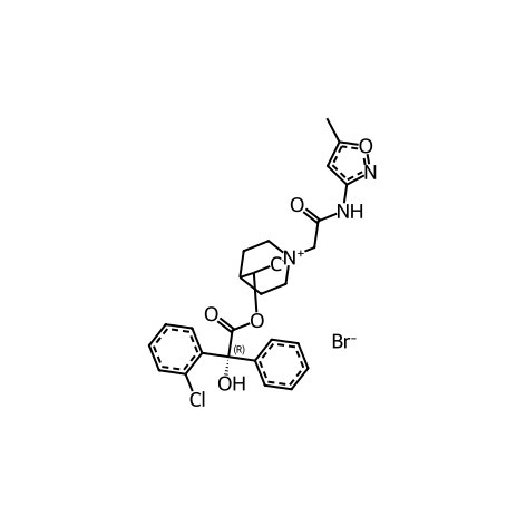 Cc1cc(NC(=O)C[N+]23CCC(CC2)C(OC(=O)[C@@](O)(c2ccccc2)c2ccccc2Cl)C3)no1.[Br-]